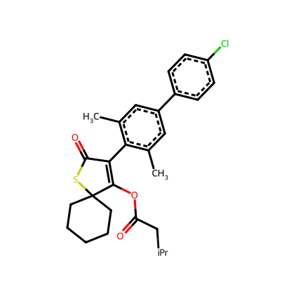 Cc1cc(-c2ccc(Cl)cc2)cc(C)c1C1=C(OC(=O)CC(C)C)C2(CCCCC2)SC1=O